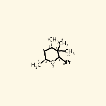 CC(C)C1O[C@@H](C)C[C@H](C)C1(C)C